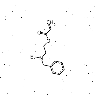 C=CC(=O)OCCN(CC)Cc1ccccc1